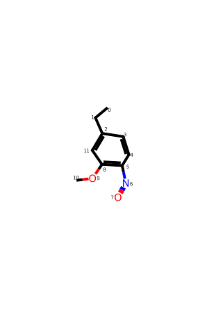 CCc1ccc(N=O)c(OC)c1